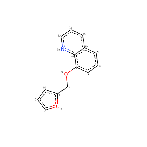 c1coc(COc2cccc3cccnc23)c1